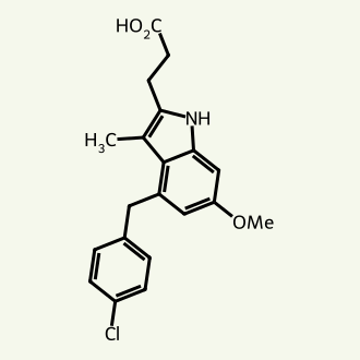 COc1cc(Cc2ccc(Cl)cc2)c2c(C)c(CCC(=O)O)[nH]c2c1